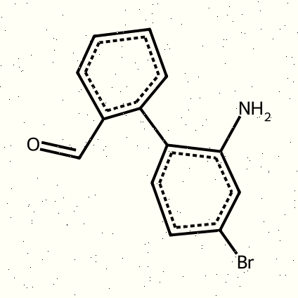 Nc1cc(Br)ccc1-c1ccccc1C=O